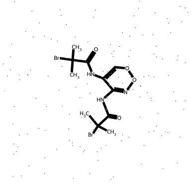 CC(C)(Br)C(=O)NC1=COON=C1NC(=O)C(C)(C)Br